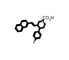 O=C(O)N1CCC(c2ccc(F)cc2)C(C=Cc2ccc3ccccc3c2)C1